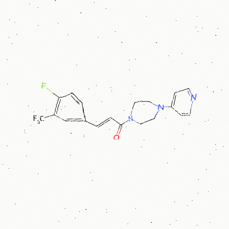 O=C(/C=C/c1ccc(F)c(C(F)(F)F)c1)N1CCN(c2ccncc2)CC1